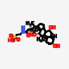 C[C@H](CCC(=O)NCCS(=O)(=O)O)C1CCC2C3C(C[C@H](O)[C@@]21C)[C@@]1(C)CC[C@@H](O)C[C@H]1C[C@H]3O